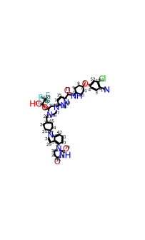 N#Cc1ccc(OC2CCC(NC(=O)c3ccc(N4CCN(CC5CCC(n6ccc7c(N8CCC(=O)NC8=O)cccc76)CC5)CC4)nn3)CC2)cc1Cl.O=C(O)C(F)(F)F